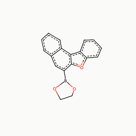 c1ccc2c(c1)cc(B1OCCO1)c1oc3ccccc3c12